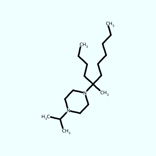 CCCCCCC(C)(CCCC)N1CCN(C(C)C)CC1